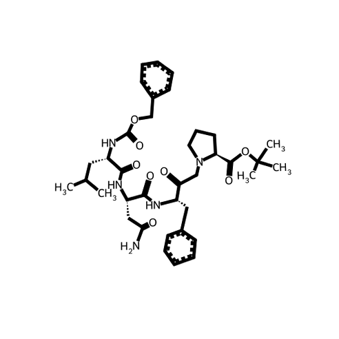 CC(C)C[C@H](NC(=O)OCc1ccccc1)C(=O)N[C@@H](CC(N)=O)C(=O)N[C@@H](Cc1ccccc1)C(=O)CN1CCC[C@H]1C(=O)OC(C)(C)C